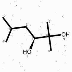 CC(C)C[C@H](O)C(C)(C)O